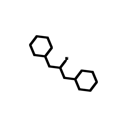 FC(CC1CCCCC1)CC1CCCCC1